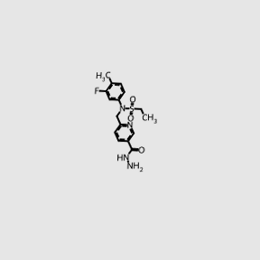 CCS(=O)(=O)N(Cc1ccc(C(=O)NN)cn1)c1ccc(C)c(F)c1